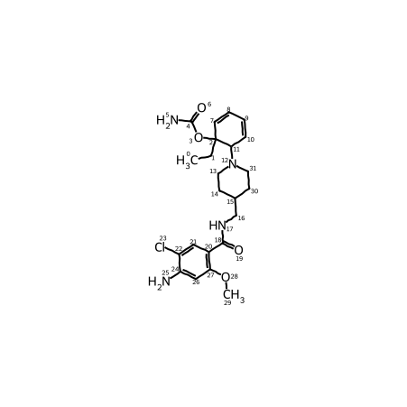 CCC1(OC(N)=O)C=CC=CC1N1CCC(CNC(=O)c2cc(Cl)c(N)cc2OC)CC1